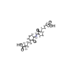 CC(C)(CCCC1CCCC(/C=C/C2CCCC(CCCC(C)(C)C(=O)O)C2=O)C1=O)C(=O)O